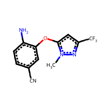 Cn1nc(C(F)(F)F)cc1Oc1cc(C#N)ccc1N